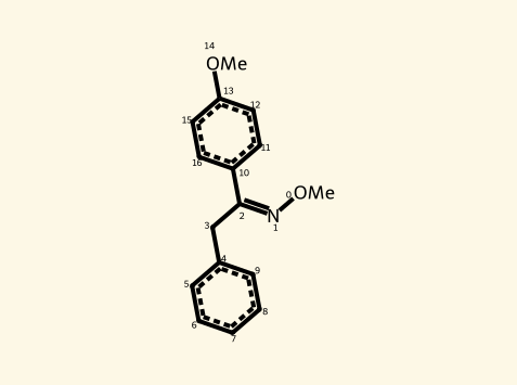 CON=C(Cc1ccccc1)c1ccc(OC)cc1